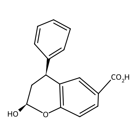 O=C(O)c1ccc2c(c1)[C@H](c1ccccc1)C[C@H](O)O2